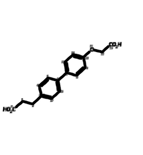 O=C(O)CCc1ccc(-c2ccc(OCC(=O)O)cc2)cc1